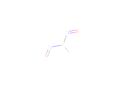 O=NB(O)N=O